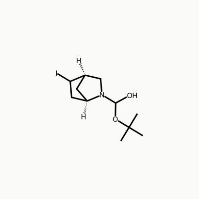 CC(C)(C)OC(O)N1C[C@H]2C[C@@H]1CC2I